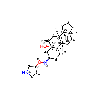 C=C1C[C@H]2[C@@H]3CCC[C@@]3(C)CC[C@@H]2[C@@]2(C)CCC(=NOC3CCNC3)C[C@]12O